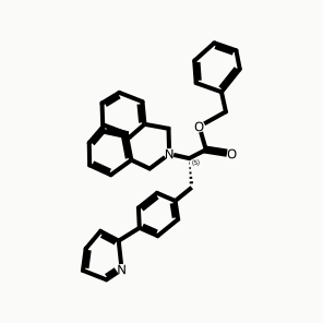 O=C(OCc1ccccc1)[C@H](Cc1ccc(-c2ccccn2)cc1)N(Cc1ccccc1)Cc1ccccc1